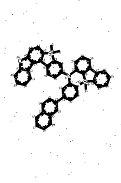 C[Si]1(C)c2cc(N(c3cccc(-c4ccc5ccccc5c4)c3)c3cccc4c3[Si](C)(C)c3ccccc3-4)ccc2-c2c1ccc1oc3ccccc3c21